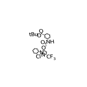 CC(C)(C)OC(=O)c1cccc(NC(=O)COc2cc(C(F)(F)F)nn2-c2ccccc2Cl)c1